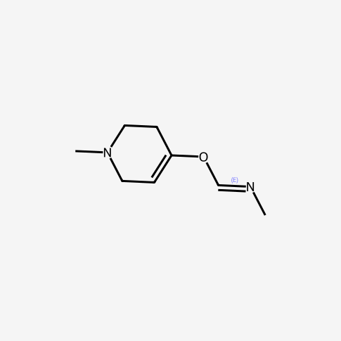 C/N=C/OC1=CCN(C)CC1